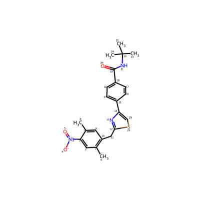 Cc1cc([N+](=O)[O-])c(C)cc1Cc1nc(-c2ccc(C(=O)NC(C)(C)C)cc2)cs1